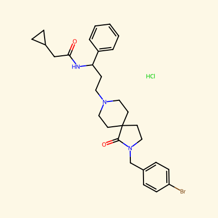 Cl.O=C(CC1CC1)NC(CCN1CCC2(CC1)CCN(Cc1ccc(Br)cc1)C2=O)c1ccccc1